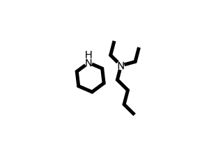 C1CCNCC1.CCCCN(CC)CC